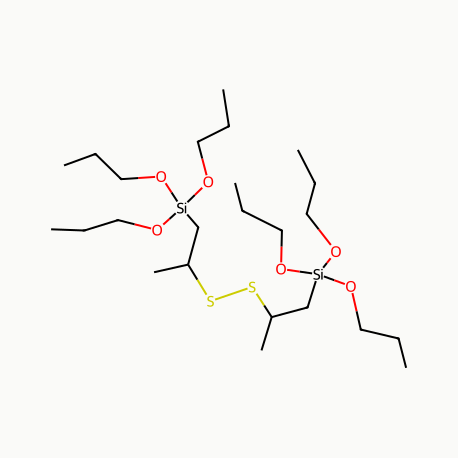 CCCO[Si](CC(C)SSC(C)C[Si](OCCC)(OCCC)OCCC)(OCCC)OCCC